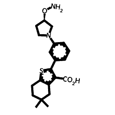 CC1(C)CCc2sc(-c3cccc(N4CC[C@@H](ON)C4)c3)c(C(=O)O)c2C1